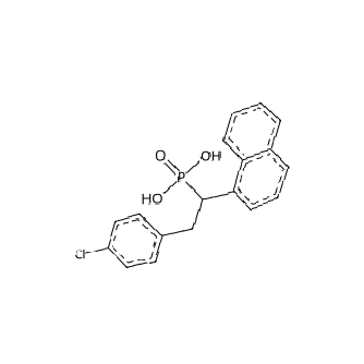 O=P(O)(O)C(Cc1ccc(Cl)cc1)c1cccc2ccccc12